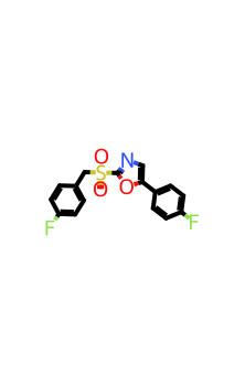 O=S(=O)(Cc1ccc(F)cc1)c1ncc(-c2ccc(F)cc2)o1